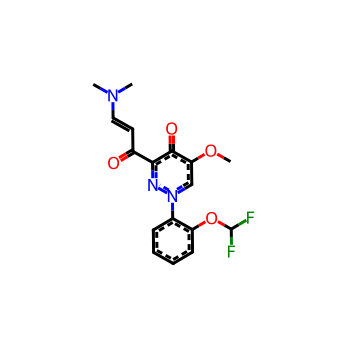 COc1cn(-c2ccccc2OC(F)F)nc(C(=O)C=CN(C)C)c1=O